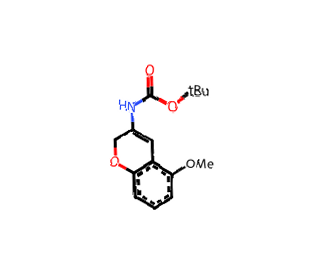 COc1cccc2c1C=C(NC(=O)OC(C)(C)C)CO2